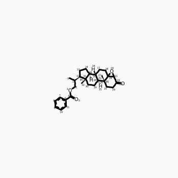 CC(COC(=O)c1ccccc1)[C@H]1CC[C@H]2[C@@H]3CCC45OC4C(=O)CC[C@]5(C)[C@H]3CC[C@]12C